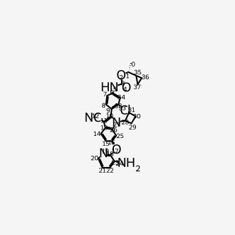 C[C@@H](OC(=O)Nc1ccc(-c2c(C#N)c3ccc(Oc4ncccc4N)cc3n2C2CCC2)c(Cl)c1)C1CC1